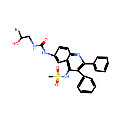 CCC(O)CNC(=O)Nc1ccc2nc(-c3ccccc3)c(-c3ccccc3)c(NS(C)(=O)=O)c2c1